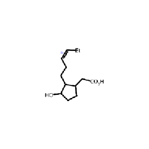 CC/C=C\CCC1C(O)CCC1CC(=O)O